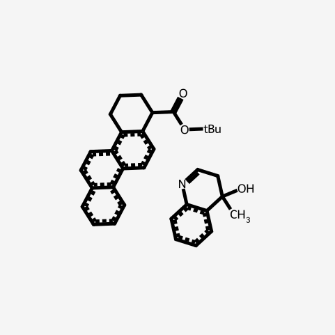 CC(C)(C)OC(=O)C1CCCc2c1ccc1c2ccc2ccccc21.CC1(O)CC=Nc2ccccc21